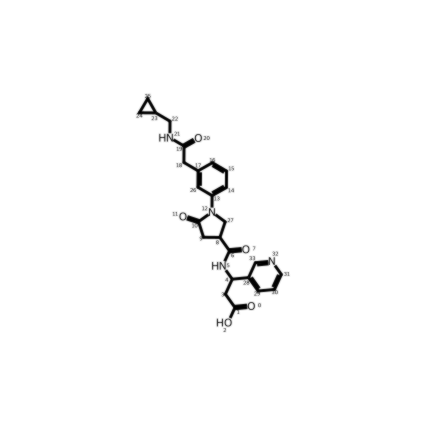 O=C(O)CC(NC(=O)C1CC(=O)N(c2cccc(CC(=O)NCC3CC3)c2)C1)c1cccnc1